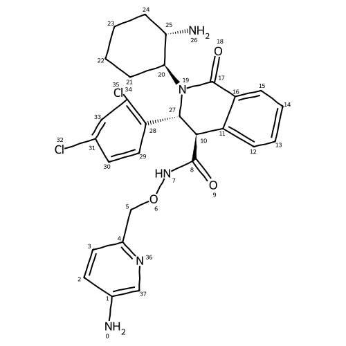 Nc1ccc(CONC(=O)[C@@H]2c3ccccc3C(=O)N([C@H]3CCCC[C@@H]3N)[C@H]2c2ccc(Cl)cc2Cl)nc1